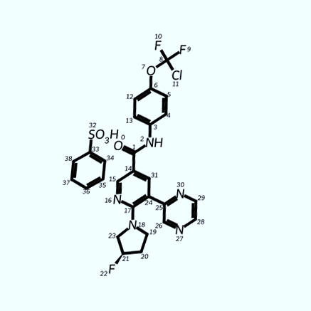 O=C(Nc1ccc(OC(F)(F)Cl)cc1)c1cnc(N2CC[C@@H](F)C2)c(-c2cnccn2)c1.O=S(=O)(O)c1ccccc1